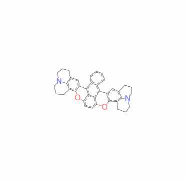 c1ccc2c3c4c(ccc5c4c(c2c1)-c1cc2c4c(c1O5)CCCN4CCC2)Oc1c-3cc2c3c1CCCN3CCC2